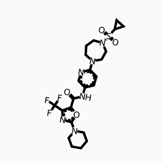 O=C(Nc1ccc(N2CCCN(S(=O)(=O)C3CC3)CC2)nc1)c1oc(N2CCCCC2)nc1C(F)(F)F